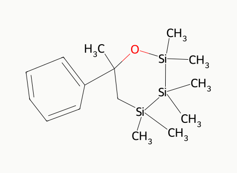 CC1(c2ccccc2)C[Si](C)(C)[Si](C)(C)[Si](C)(C)O1